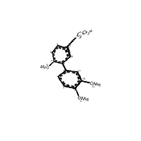 COc1ccc(-c2cc(C(=O)O)ccc2OC)cc1OC